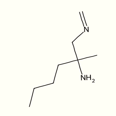 C=NCC(C)(N)CCCC